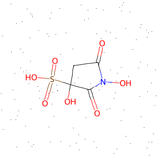 O=C1CC(O)(S(=O)(=O)O)C(=O)N1O